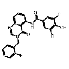 O=C(Nc1cccc2ncn(Cc3ccccc3F)c(=O)c12)c1cc(Cl)c(O)c(Cl)c1